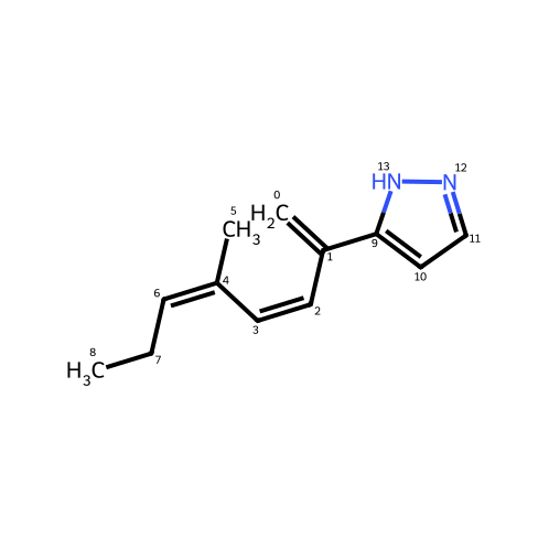 C=C(/C=C\C(C)=C/CC)c1ccn[nH]1